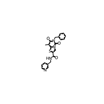 Cc1c(=O)n(Cc2ccccc2)c(=O)n2cc(C(=O)NCc3cccnc3)sc12